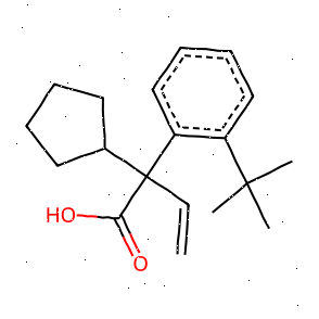 C=CC(C(=O)O)(c1ccccc1C(C)(C)C)C1CCCC1